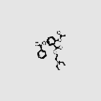 CCN(CC)CCOC(=O)c1ccccc1OC(C)=O.O=C(O)c1ccccc1